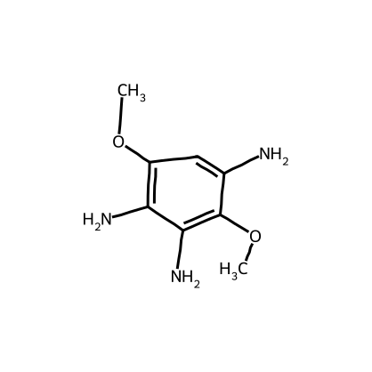 COc1cc(N)c(OC)c(N)c1N